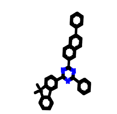 C[Si]1(C)c2ccccc2-c2cc(-c3nc(-c4ccccc4)nc(-c4ccc5cc(-c6ccccc6)ccc5c4)n3)ccc21